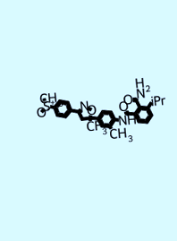 Cc1cc(C2(C(F)(F)F)CC(c3ccc([S+](C)[O-])cc3)=NO2)ccc1NC(=O)c1cccc(C(C)C)c1C(N)=O